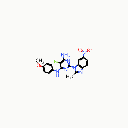 COc1ccc(Nc2nc(-n3c(C)nc4ccc([N+](=O)[O-])cc43)nc(N)c2F)cc1